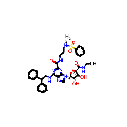 CCNC(=O)[C@H]1O[C@@H](n2cnc3c(NCC(c4ccccc4)c4ccccc4)nc(C(=O)NCCCN(C)S(=O)(=O)c4ccccc4)nc32)[C@@H](O)[C@@H]1O